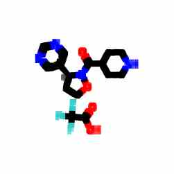 O=C(C1CCNCC1)N1OCC[C@H]1c1cncnc1.O=C(O)C(F)(F)F